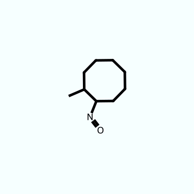 CC1CCCCCCC1N=O